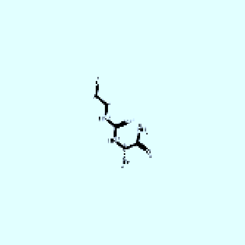 CC(C)[C@H](NC(=O)NCCCl)C(N)=O